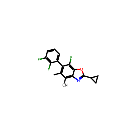 Cc1c(-c2cccc(F)c2F)c(F)c2oc(C3CC3)nc2c1C#N